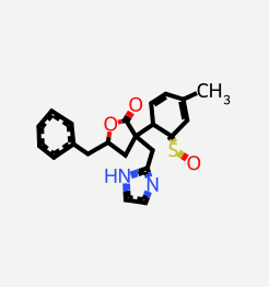 CC1=CC(=S=O)C(C2(Cc3ncc[nH]3)CC(Cc3ccccc3)OC2=O)C=C1